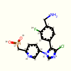 NCc1ccc(-c2c(Cl)ncn2-c2ccc(C[SH](=O)=O)nc2)cc1F